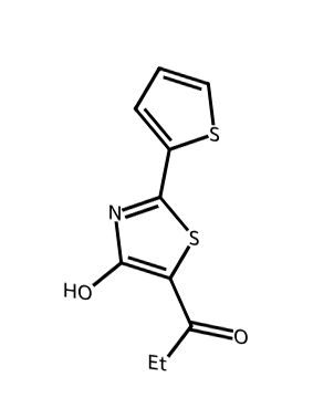 CCC(=O)c1sc(-c2cccs2)nc1O